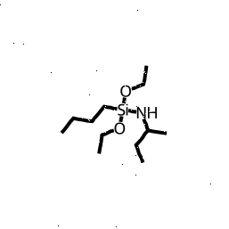 CCCC[Si](NC(C)CC)(OCC)OCC